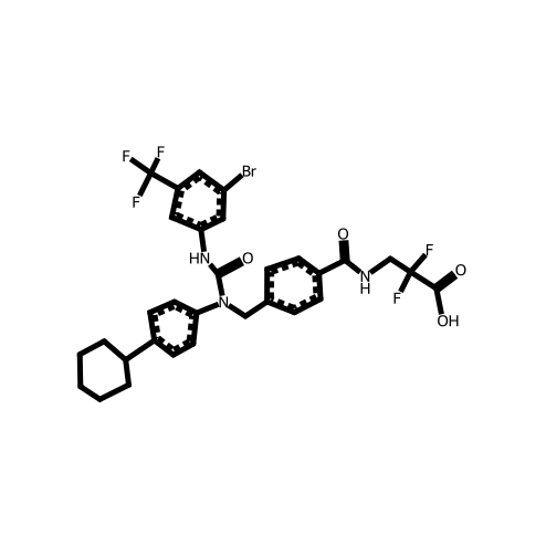 O=C(NCC(F)(F)C(=O)O)c1ccc(CN(C(=O)Nc2cc(Br)cc(C(F)(F)F)c2)c2ccc(C3CCCCC3)cc2)cc1